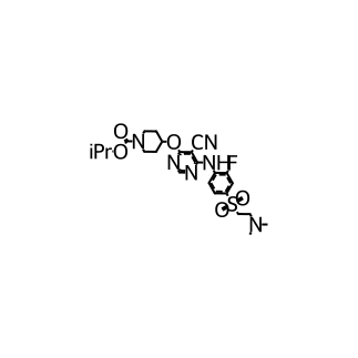 CC(C)OC(=O)N1CCC(Oc2ncnc(Nc3ccc(S(=O)(=O)CCN(C)C)cc3F)c2C#N)CC1